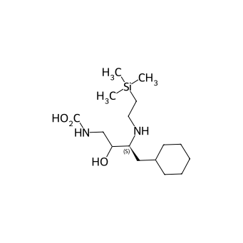 C[Si](C)(C)CCN[C@@H](CC1CCCCC1)C(O)CNC(=O)O